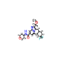 CCOC(C)(C)c1nc2cc(C(=O)NC3CCOCC3)cc(C)n2c1CC1CCC(F)(F)CC1